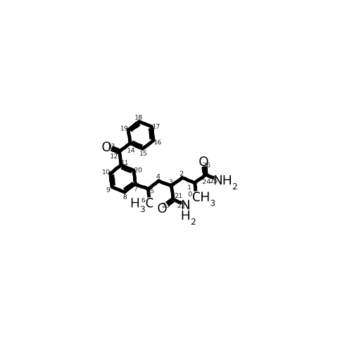 CC(CC(CC(C)c1cccc(C(=O)c2ccccc2)c1)C(N)=O)C(N)=O